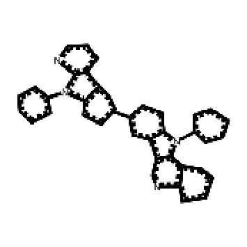 c1ccc(-n2c3ccc(-c4ccc5c(c4)c4cnc6ccccc6c4n5-c4ccccc4)cc3c3cccnc32)cc1